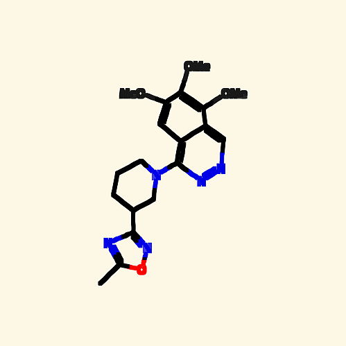 COc1cc2c(N3CCCC(c4noc(C)n4)C3)nncc2c(OC)c1OC